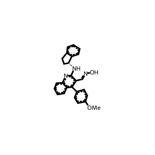 COc1ccc(-c2c(/C=N/O)c(N[C@@H]3CCc4ccccc43)nc3ccccc23)cc1